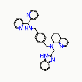 c1ccc(C(NCc2ccc(CN(Cc3nc4ccccc4[nH]3)C3CCCc4cccnc43)cc2)c2ccccn2)nc1